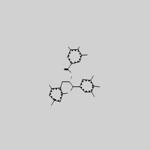 CC(=O)Oc1cc(OC(C)=O)c2c(c1)OC(c1cc(OC(C)=O)c(OC(C)=O)c(OC(C)=O)c1)[C@H](OC(=O)c1cc(OC(C)=O)c(OC(C)=O)c(OC(C)=O)c1)C2